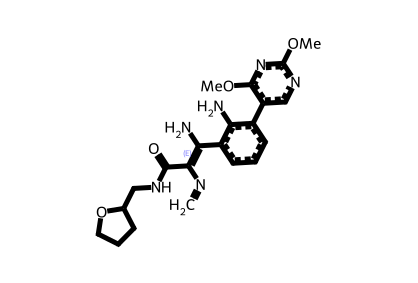 C=N/C(C(=O)NCC1CCCO1)=C(/N)c1cccc(-c2cnc(OC)nc2OC)c1N